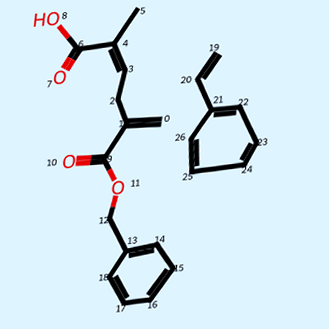 C=C(CC=C(C)C(=O)O)C(=O)OCc1ccccc1.C=Cc1ccccc1